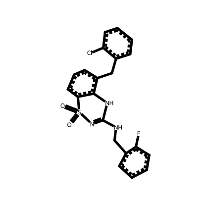 O=S1(=O)N=C(NCc2ccccc2F)Nc2c(Cc3ccccc3Cl)cccc21